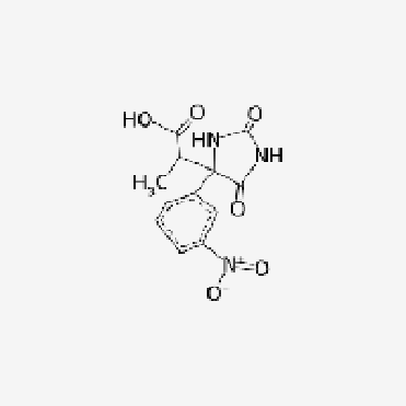 CC(C(=O)O)C1(c2cccc([N+](=O)[O-])c2)NC(=O)NC1=O